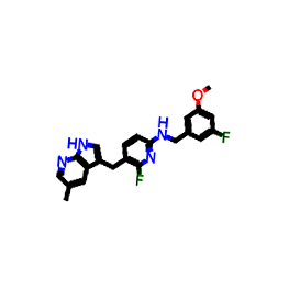 COc1cc(F)cc(CNc2ccc(Cc3c[nH]c4ncc(C)cc34)c(F)n2)c1